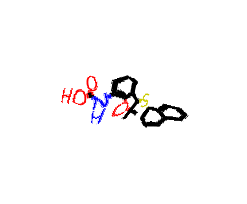 CC1(C)Oc2c(NC(=O)O)cccc2C1Sc1cccc2ccccc12